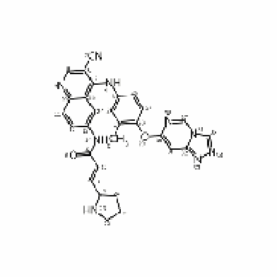 Cc1cc(Nc2c(C#N)cnc3ccc(NC(=O)/C=C/C4CCCN4)cc23)ccc1Oc1cc2nncn2cn1